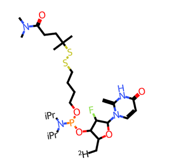 [2H]CC1OC(N2C=CC(=O)NC2=C)C(F)C1OP(OCCCCSSC(C)(C)CCC(=O)N(C)C)N(C(C)C)C(C)C